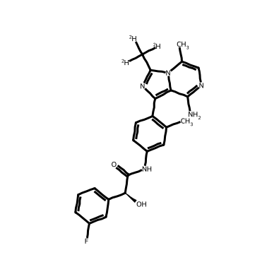 [2H]C([2H])([2H])c1nc(-c2ccc(NC(=O)[C@@H](O)c3cccc(F)c3)cc2C)c2c(N)ncc(C)n12